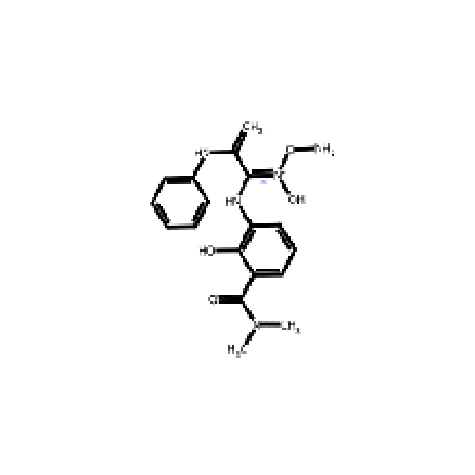 C=C(Nc1ccccc1)/C(Nc1cccc(C(=O)N(C)C)c1O)=[N+](/O)ON